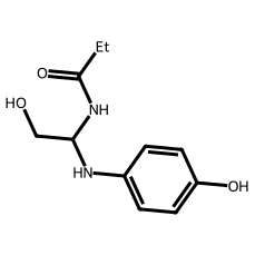 CCC(=O)NC(CO)Nc1ccc(O)cc1